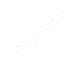 O=C(NCC(=O)N1CCN(c2ccc(NC(=O)c3ccccc3)cc2)CC1)c1cccc(OCC[18F])c1